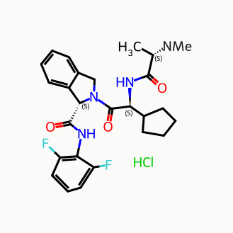 CN[C@@H](C)C(=O)N[C@H](C(=O)N1Cc2ccccc2[C@H]1C(=O)Nc1c(F)cccc1F)C1CCCC1.Cl